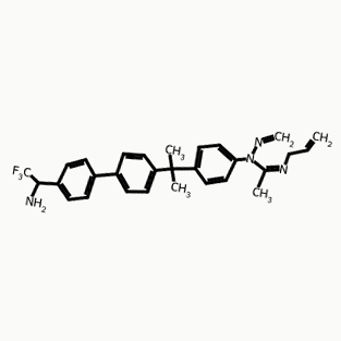 C=CC/N=C(/C)N(N=C)c1ccc(C(C)(C)c2ccc(-c3ccc(C(N)C(F)(F)F)cc3)cc2)cc1